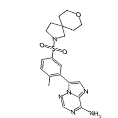 Cc1ccc(S(=O)(=O)N2CCC3(CCOCC3)C2)cc1-c1cnc2c(N)ncnn12